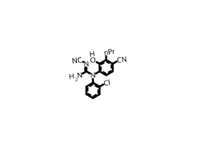 CCCc1c(C#N)ccc(N(C(N)=NC#N)c2ccccc2Cl)c1O